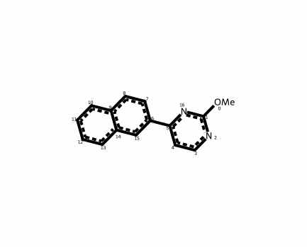 COc1nccc(-c2ccc3ccccc3c2)n1